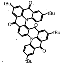 CC(C)(C)c1ccc2c(c1)c(=O)c1cc(C(C)(C)C)cc3c(=O)c4c(ccc5c(=O)c6cc(C(C)(C)C)cc7c(=O)c8cc(C(C)(C)C)ccc8n(c76)c54)n2c13